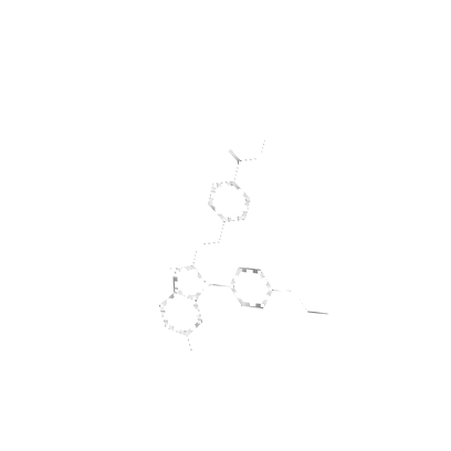 CCOc1ccc(-n2c(SCc3ccc(C(=O)OC)cc3)nc3ccc(Cl)cc32)cc1